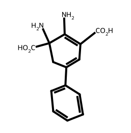 NC1=C(C(=O)O)C=C(c2ccccc2)CC1(N)C(=O)O